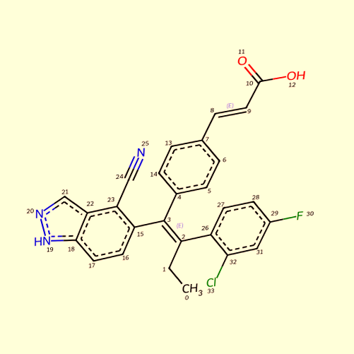 CC/C(=C(/c1ccc(/C=C/C(=O)O)cc1)c1ccc2[nH]ncc2c1C#N)c1ccc(F)cc1Cl